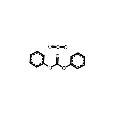 O=C(Oc1ccccc1)Oc1ccccc1.O=C=O